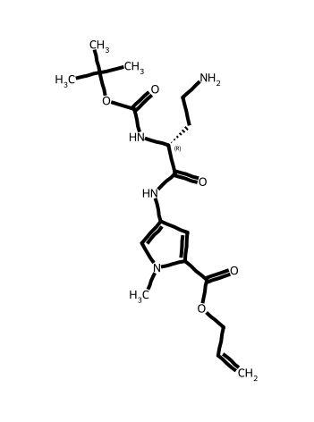 C=CCOC(=O)c1cc(NC(=O)[C@@H](CCN)NC(=O)OC(C)(C)C)cn1C